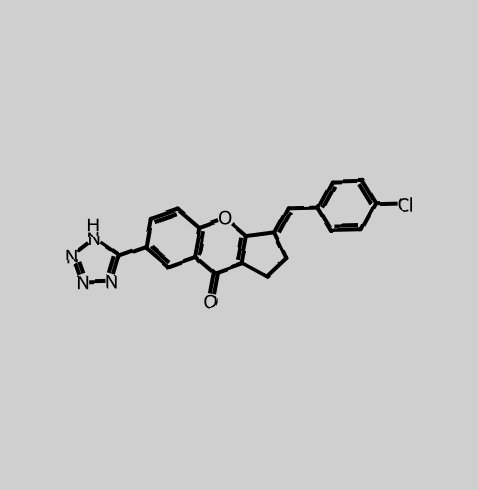 O=c1c2c(oc3ccc(-c4nnn[nH]4)cc13)/C(=C/c1ccc(Cl)cc1)CC2